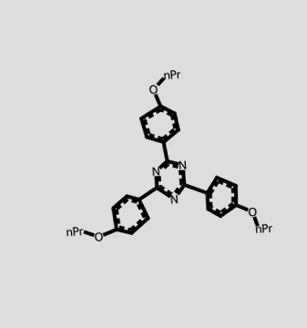 CCCOc1ccc(-c2nc(-c3ccc(OCCC)cc3)nc(-c3ccc(OCCC)cc3)n2)cc1